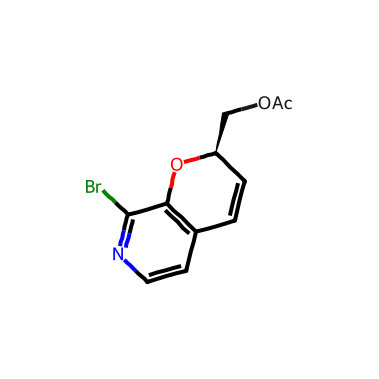 CC(=O)OC[C@H]1C=Cc2ccnc(Br)c2O1